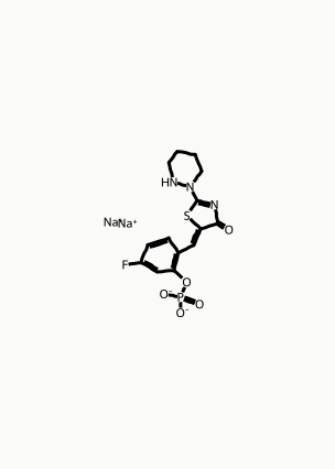 O=C1N=C(N2CCCCN2)SC1=Cc1ccc(F)cc1OP(=O)([O-])[O-].[Na+].[Na+]